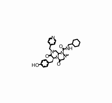 CN1CC(=O)N2C(CN(Cc3ccncc3)C(=O)[C@@H]2Cc2ccc(O)cc2)N1C(=O)NCC1CCCCC1